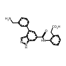 NCc1cccc(-c2cc(C(=O)Nc3ccccc3CC(=O)O)cc3[nH]ncc23)c1